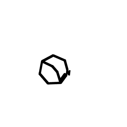 C1CC2CCC(=N1)CC2